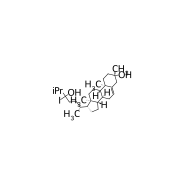 CC(C)C(O)(I)CC[C@@H](C)[C@H]1CC[C@H]2[C@@H]3CC=C4C[C@@](C)(O)CC[C@]4(C)[C@H]3CC[C@]12C